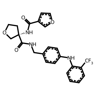 O=C(N[C@@]1(C(=O)NCc2ccc(Nc3ccccc3C(F)(F)F)cc2)CCOC1)c1ccoc1